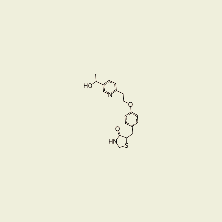 CC(O)c1ccc(CCOc2ccc(CC3SCNC3=O)cc2)nc1